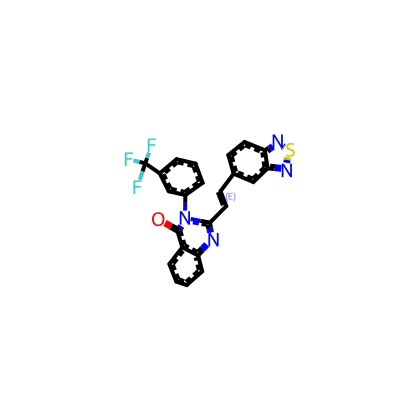 O=c1c2ccccc2nc(/C=C/c2ccc3nsnc3c2)n1-c1cccc(C(F)(F)F)c1